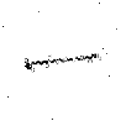 NC(=O)CCOCCOCCOCCOCCNC(=O)CCCCCN1C(=O)C=CC1=O